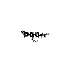 COCOc1cc(-c2cc(C)c3nn(C)cc3c2)ccc1-c1ccc(C2CN(C(=O)OC(C)(C)C)C2)nn1